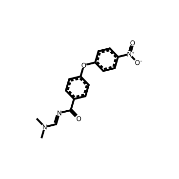 CN(C)C=NC(=O)c1ccc(Oc2ccc([N+](=O)[O-])cc2)cc1